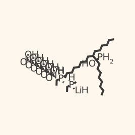 CCCCCCCCC(CCCCCC)C(O)(P)CCCCCCCC.CC[PH](C)(C)C.CC[PH](C)(C)C.O=NO.O=NO.O=NO.O=NO.O=NO.O=NO.[LiH]